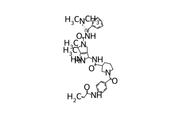 C=CC(=O)Nc1ccc(C(=O)N2CCCC(C(=O)NC3NNC4=C3CN(C(=O)N[C@H](CN(C)C)c3ccccc3)C4(C)C)C2)cc1